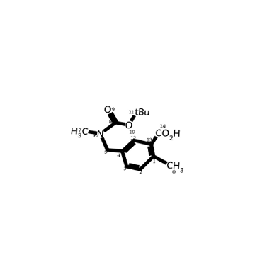 Cc1ccc(CN(C)C(=O)OC(C)(C)C)cc1C(=O)O